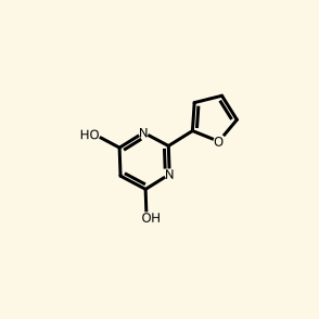 Oc1cc(O)nc(-c2ccco2)n1